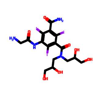 NCC(=O)Nc1c(I)c(C(N)=O)c(I)c(C(=O)N(CC(O)CO)CC(O)CO)c1I